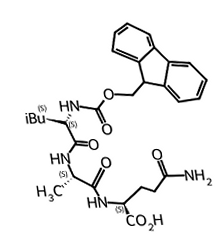 CC[C@H](C)[C@H](NC(=O)OCC1c2ccccc2-c2ccccc21)C(=O)N[C@@H](C)C(=O)N[C@@H](CCC(N)=O)C(=O)O